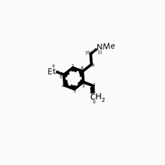 C=Cc1ccc(CC)cc1CCNC